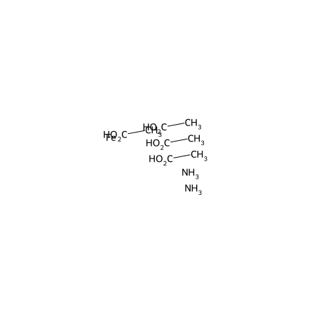 CC(=O)O.CC(=O)O.CC(=O)O.CC(=O)O.N.N.[Fe]